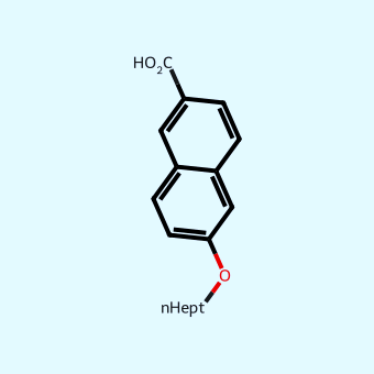 CCCCCCCOc1ccc2cc(C(=O)O)ccc2c1